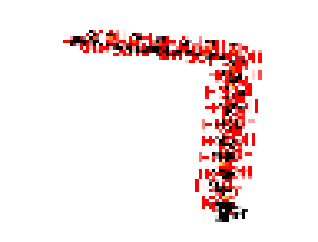 OOP(O)O.OOP(O)O.OOP(O)O.OOP(O)O.OOP(O)O.OOP(O)O.OOP(O)O.OOP(O)O.OOP(O)O.OOP(O)O.OOP(O)O.OOP(O)O.OOP(O)O.[O-]P([O-])OO.[O-]P([O-])OO.[O-]P([O-])OO.[Zn+2].[Zn+2].[Zn+2]